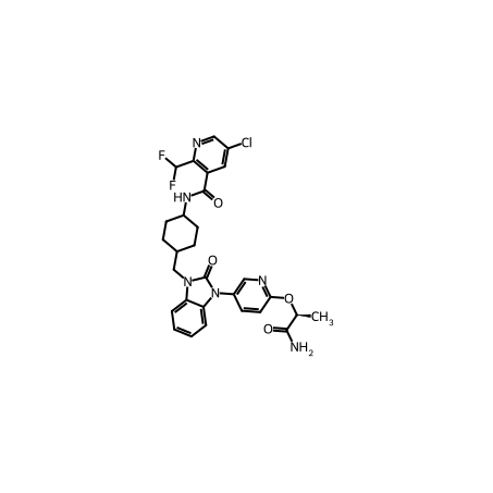 C[C@H](Oc1ccc(-n2c(=O)n(CC3CCC(NC(=O)c4cc(Cl)cnc4C(F)F)CC3)c3ccccc32)cn1)C(N)=O